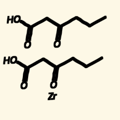 CCCC(=O)CC(=O)O.CCCC(=O)CC(=O)O.[Zr]